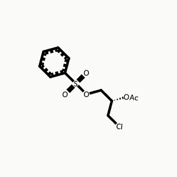 CC(=O)O[C@H](CCl)COS(=O)(=O)c1ccccc1